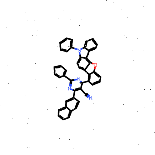 N#Cc1c(-c2ccc3ccccc3c2)nc(-c2ccccc2)nc1-c1cccc2oc3c(ccc4c3c3ccccc3n4-c3ccccc3)c12